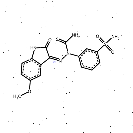 COc1ccc2c(c1)/C(=N/N(C(N)=S)c1cccc(S(N)(=O)=O)c1)C(=O)N2